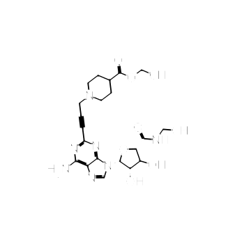 CCNC(=O)[C@H]1O[C@@H](n2cnc3c(N)nc(C#CCN4CCC(C(=O)OCC)CC4)nc32)[C@@H](O)C1O